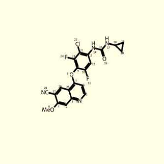 COc1cc2nccc(Oc3c(F)cc(NC(=O)NC4CC4)c(Cl)c3F)c2cc1C#N